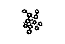 c1ccc(-c2ccc(N3c4cc(N(c5ccccc5)c5ccccc5)ccc4B4c5c(cc6sc7ccccc7c6c53)-c3cc(-c5ccccc5)ccc3N4c3cccc(-c4ccccc4)c3)cc2)cc1